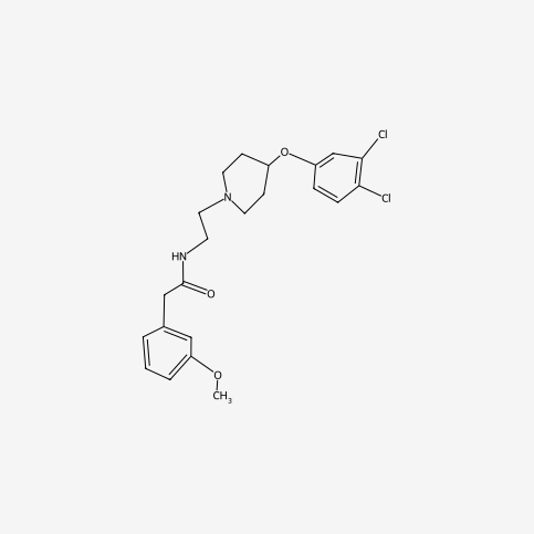 COc1cccc(CC(=O)NCCN2CCC(Oc3ccc(Cl)c(Cl)c3)CC2)c1